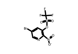 O=[N+]([O-])c1ncc(Br)cc1OS(=O)(=O)C(F)(F)F